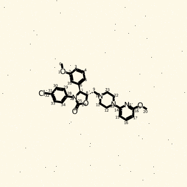 COc1cccc([C@H]2[C@H](CN3CCN(c4cccc(OC)n4)CC3)OC(=O)N2c2ccc(Cl)cc2)c1